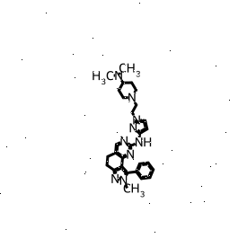 CN(C)C1CCN(CCn2ccc(Nc3ncc4c(n3)-c3c(nn(C)c3-c3ccccc3)CC4)n2)CC1